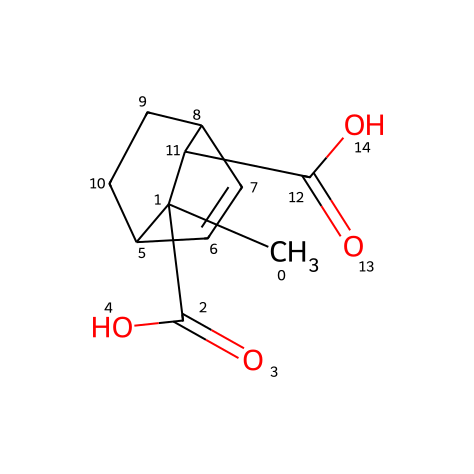 CC1(C(=O)O)C2C=CC(CC2)C1C(=O)O